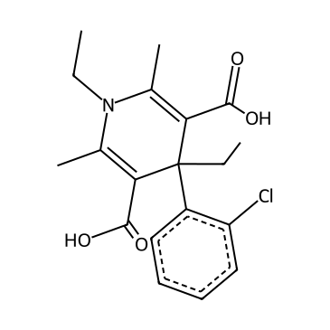 CCN1C(C)=C(C(=O)O)C(CC)(c2ccccc2Cl)C(C(=O)O)=C1C